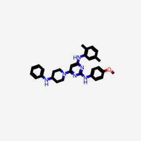 COc1ccc(Nc2nc(Nc3cc(C)ccc3C)cc(N3CCC(Nc4ccccc4)CC3)n2)cc1